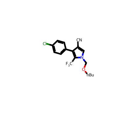 CCCCOCn1cc(C#N)c(-c2ccc(Cl)cc2)c1C(F)(F)F